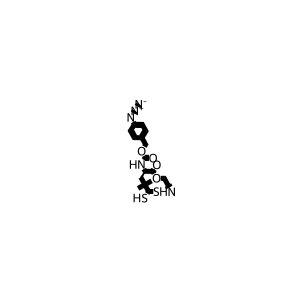 CC(C)(C[C@@H](NC(=O)OCc1ccc(N=[N+]=[N-])cc1)C(=O)OCC#N)C(S)S